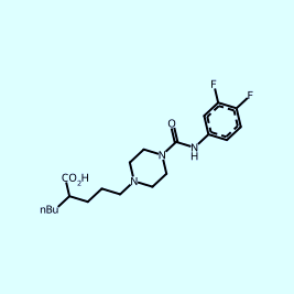 CCCCC(CCCN1CCN(C(=O)Nc2ccc(F)c(F)c2)CC1)C(=O)O